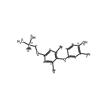 CC(C)c1cc(Oc2c(Br)cc(OC[PH](C)(O)O)cc2Br)ccc1O